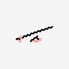 C=C(CCCC)C(=O)O.C=CC(=O)OCCCCCCCCCCCCCCCCCC